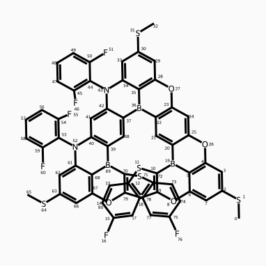 CSc1cc2c3c(c1)Oc1c(sc4ccc(F)cc14)B3c1cc3c(cc1O2)Oc1cc(SC)cc2c1B3c1cc3c(cc1N2c1c(F)cccc1F)N(c1c(F)cccc1F)c1cc(SC)cc2c1B3c1sc3ccc(F)cc3c1O2